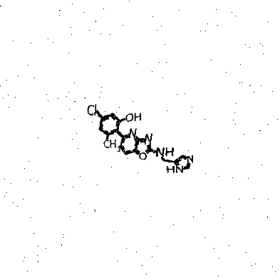 Cc1cc(Cl)cc(O)c1-c1ccc2oc(NCc3cnc[nH]3)nc2n1